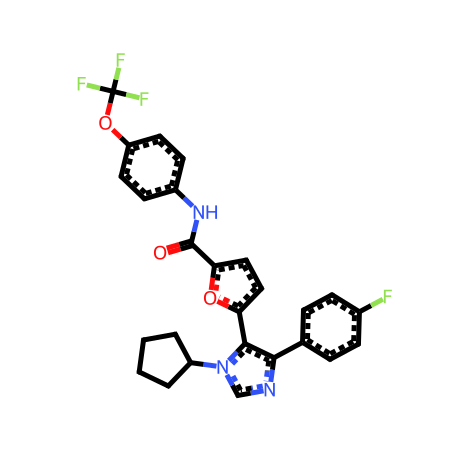 O=C(Nc1ccc(OC(F)(F)F)cc1)c1ccc(-c2c(-c3ccc(F)cc3)ncn2C2CCCC2)o1